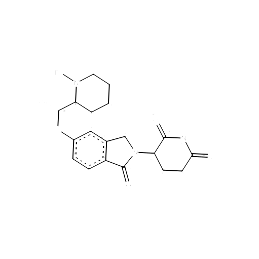 CCN1CCCCC1[C@@H](C)Oc1ccc2c(c1)CN(C1CCC(=O)NC1=O)C2=O